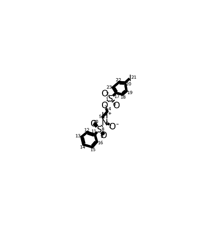 O=S(=O)(OCC[NH+]([O-])S(=O)(=O)c1ccccc1)c1ccc(I)cc1